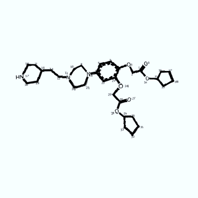 O=C(COc1ccc(N2CCN(CCC3CCNCC3)CC2)cc1OCC(=O)OC1CCCC1)OC1CCCC1